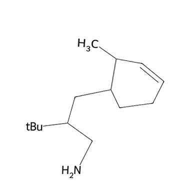 CC1C=CCCC1CC(CN)C(C)(C)C